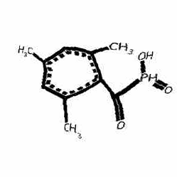 Cc1cc(C)c(C(=O)[PH](=O)O)c(C)c1